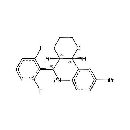 CC(C)c1ccc2c(c1)[C@H]1OCCC[C@H]1[C@H](c1c(F)cccc1F)N2